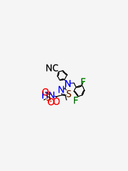 Cc1sc(N(Cc2cc(F)ccc2F)c2ccc(C#N)cc2)nc1C(=O)NS(C)(=O)=O